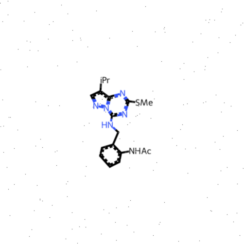 CSc1nc(NCc2ccccc2NC(C)=O)n2ncc(C(C)C)c2n1